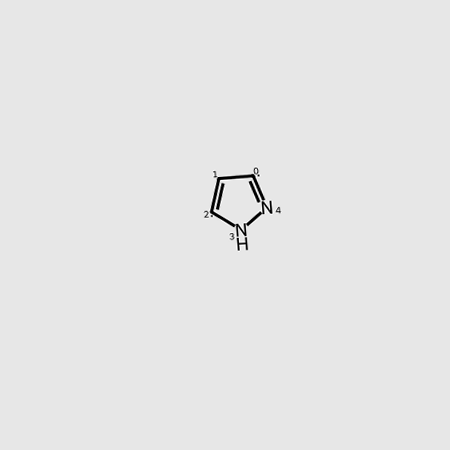 [c]1c[c][nH]n1